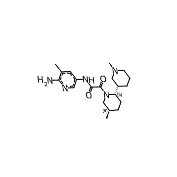 Cc1cc(NC(=O)C(=O)N2C[C@H](C)CC[C@H]2C2CCCN(C)C2)cnc1N